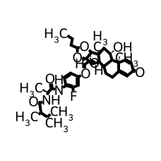 CCCC1O[C@@H]2CC3[C@@H]4CCC5=CC(=O)C=C[C@]5(C)C4[C@@H](O)C[C@]3(C)[C@]2(C(=O)COc2ccc(NC(=O)[C@H](C)NC(=O)C(C)C(C)C)c(F)c2)O1